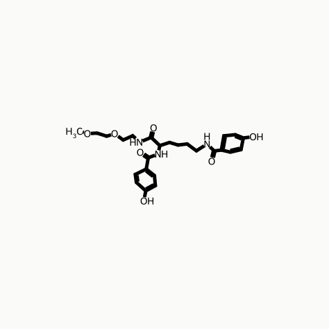 COCCOCCNC(=O)C(CCCCNC(=O)c1ccc(O)cc1)NC(=O)c1ccc(O)cc1